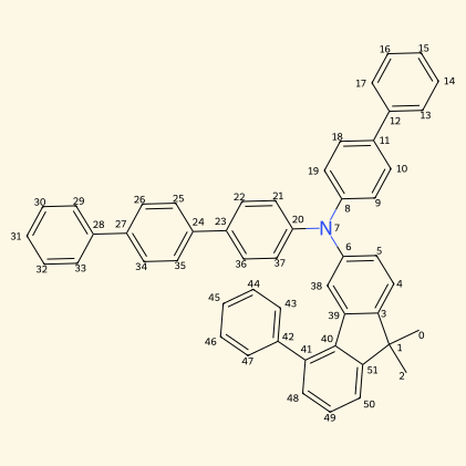 CC1(C)c2ccc(N(c3ccc(-c4ccccc4)cc3)c3ccc(-c4ccc(-c5ccccc5)cc4)cc3)cc2-c2c(-c3ccccc3)cccc21